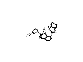 Oc1cccc(-c2nc3cccc(-c4nc5ccncc5s4)c3[nH]2)c1